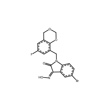 O=C1/C(=N\O)c2cc(Br)ccc2N1Cc1cc(F)cc2c1OCOC2